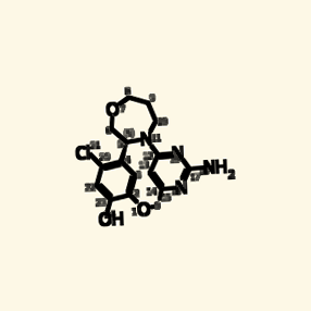 COc1cc([C@H]2COCCCN2c2cc(C)nc(N)n2)c(Cl)cc1O